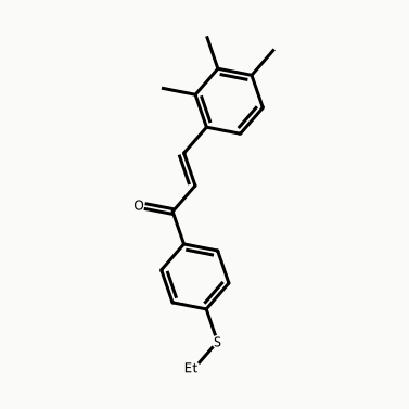 CCSc1ccc(C(=O)/C=C/c2ccc(C)c(C)c2C)cc1